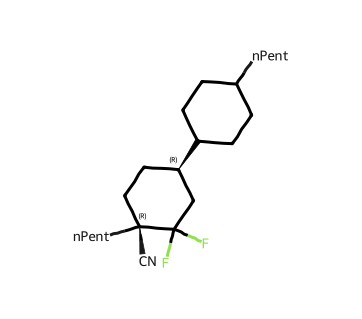 CCCCCC1CCC([C@@H]2CC[C@@](C#N)(CCCCC)C(F)(F)C2)CC1